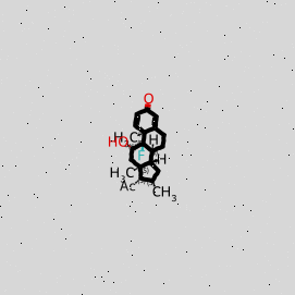 CC(=O)[C@H]1[C@@H](C)C[C@H]2[C@@H]3CCC4=CC(=O)C=C[C@]4(C)[C@@]3(F)[C@@H](O)C[C@@]21C